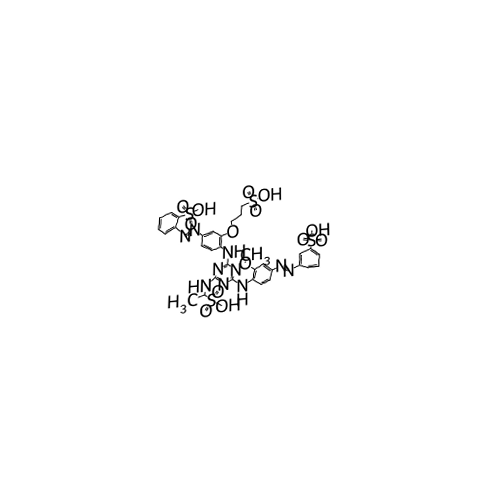 COc1cc(N=Nc2cccc(S(=O)(=O)O)c2)ccc1Nc1nc(Nc2ccc(N=Nc3ccccc3S(=O)(=O)O)cc2OCCCS(=O)(=O)O)nc(NC(C)S(=O)(=O)O)n1